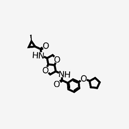 C[C@@H]1CC1C(=O)NC1COC2C(NC(=O)c3cccc(OC4CCCC4)c3)COC12